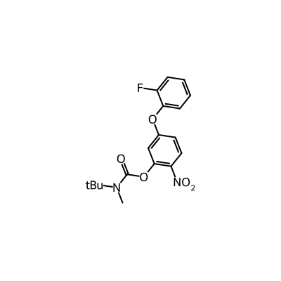 CN(C(=O)Oc1cc(Oc2ccccc2F)ccc1[N+](=O)[O-])C(C)(C)C